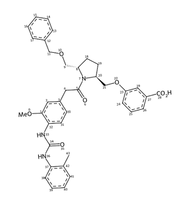 COc1cc(CC(=O)N2[C@H](COCc3ccccc3)CC[C@H]2COc2cccc(C(=O)O)c2)ccc1NC(=O)Nc1ccccc1C